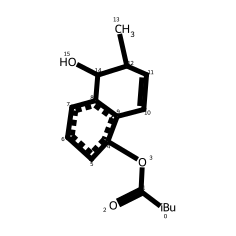 CCC(C)C(=O)Oc1cccc2c1C=CC(C)C2O